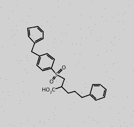 O=C(O)C(CCCc1ccccc1)CS(=O)(=O)c1ccc(Cc2ccccc2)cc1